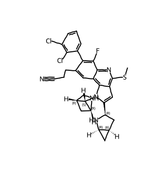 CSc1nc2c(F)c(-c3cccc(Cl)c3Cl)c(CCC#N)cc2c2c1cc([C@H]1C[C@H]3C[C@H]3N1)n2[C@H]1[C@H]2CN[C@@H]1C2